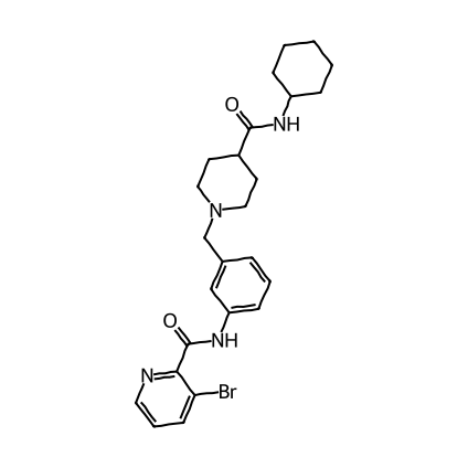 O=C(Nc1cccc(CN2CCC(C(=O)NC3CCCCC3)CC2)c1)c1ncccc1Br